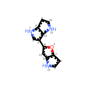 c1cc2oc(-c3c[nH]c4cc[nH]c34)cc2[nH]1